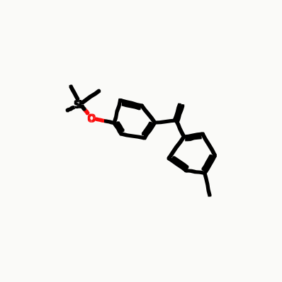 C=C(c1ccc(C)cc1)c1ccc(O[Si](C)(C)C)cc1